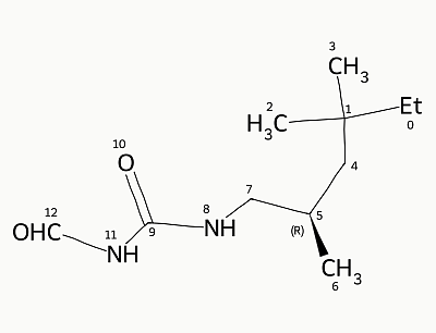 CCC(C)(C)C[C@@H](C)CNC(=O)NC=O